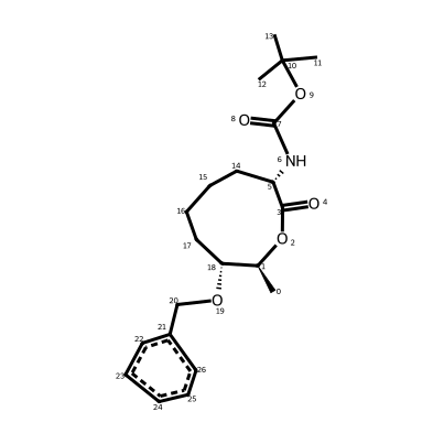 C[C@@H]1OC(=O)[C@@H](NC(=O)OC(C)(C)C)CCCC[C@H]1OCc1ccccc1